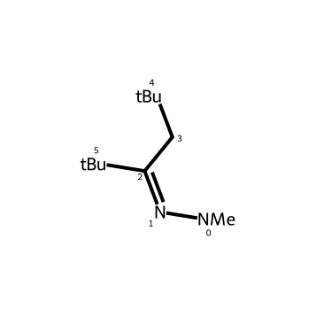 CNN=C(CC(C)(C)C)C(C)(C)C